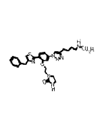 O=C(O)NCCCCc1cn(-c2ccc(-c3nc(Cc4ccccc4)cs3)c(OCCN3CCNC3=O)c2)nn1